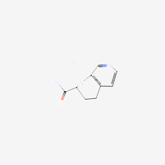 Cl.NC(=O)C1CCc2ccncc2N1